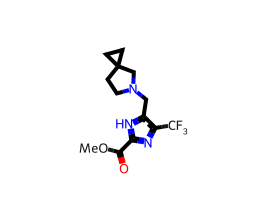 COC(=O)c1nc(C(F)(F)F)c(CN2CCC3(CC3)C2)[nH]1